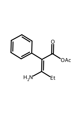 CCC(N)=C(C(=O)OC(C)=O)c1ccccc1